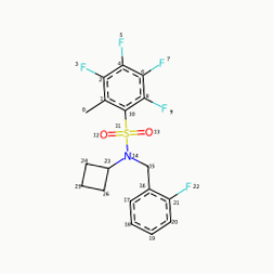 Cc1c(F)c(F)c(F)c(F)c1S(=O)(=O)N(Cc1ccccc1F)C1CCC1